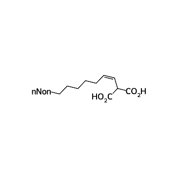 CCCCCCCCCCCCCC/C=C\C(C(=O)O)C(=O)O